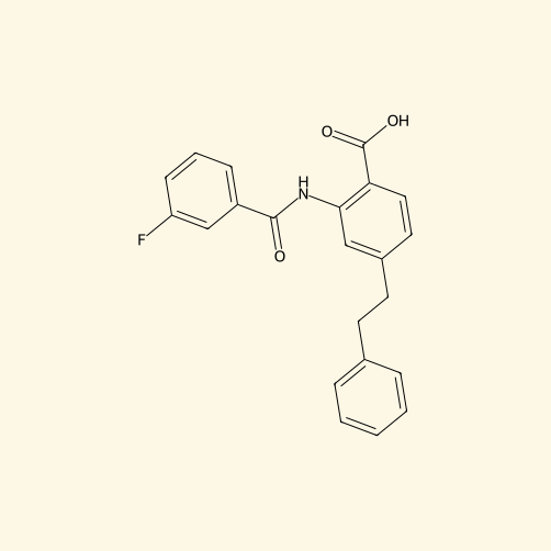 O=C(Nc1cc(CCc2ccccc2)ccc1C(=O)O)c1cccc(F)c1